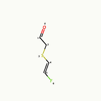 O=[C]CSC=CF